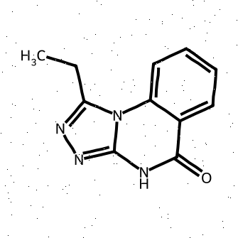 CCc1nnc2[nH]c(=O)c3ccccc3n12